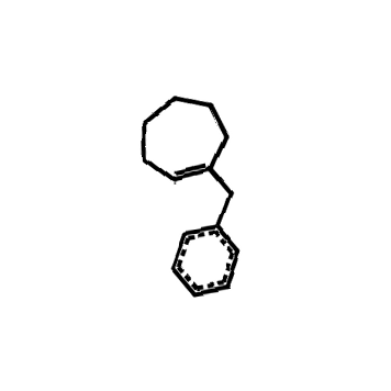 [C]1=C(Cc2ccccc2)CCCCC1